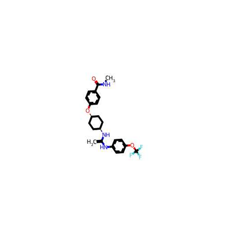 C=C(Nc1ccc(OC(F)(F)F)cc1)N[C@H]1CC[C@@H](Oc2ccc(C(=O)NC)cc2)CC1